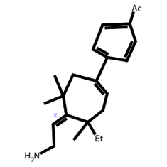 CCC1(C)CC=C(c2ccc(C(C)=O)cc2)CC(C)(C)/C1=C/CN